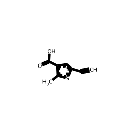 C#Cc1cc(C(=O)O)c(C)s1